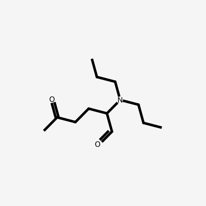 CCCN(CCC)C(C=O)CCC(C)=O